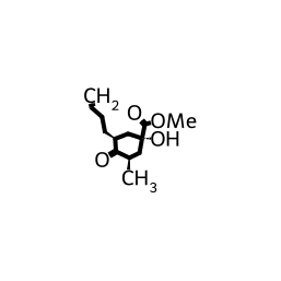 C=CCC[C@H]1C[C@@](O)(C(=O)OC)C[C@@H](C)C1=O